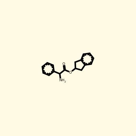 NC(C(=O)OC1Cc2ccccc2C1)c1ccccc1